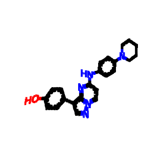 Oc1ccc(-c2cnn3ccc(Nc4ccc(N5CCCCC5)cc4)nc23)cc1